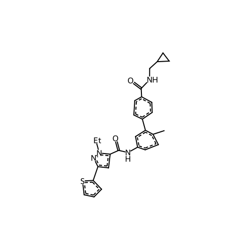 CCn1nc(-c2cccs2)cc1C(=O)Nc1ccc(C)c(-c2ccc(C(=O)NCC3CC3)cc2)c1